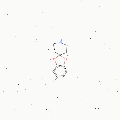 Cc1ccc2c(c1)OC1(CCNCC1)O2